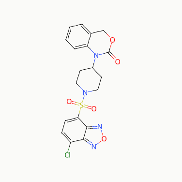 O=C1OCc2ccccc2N1C1CCN(S(=O)(=O)c2ccc(Cl)c3nonc23)CC1